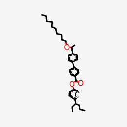 CCCCCCCCCCOC(C)c1ccc(-c2ccc(C(=O)Oc3ccc(C(CC)CCC)cc3)cc2)cc1